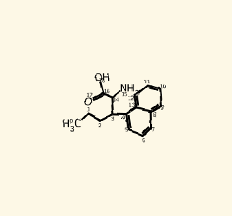 CCCC(c1cccc2ccccc12)C(N)C(=O)O